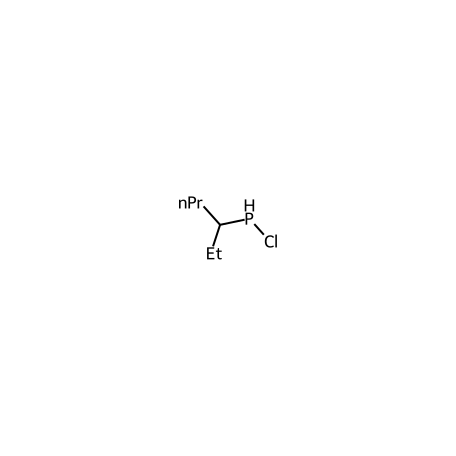 CCCC(CC)PCl